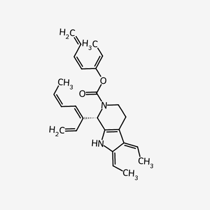 C=C/C=C\C(=C/C)OC(=O)N1CCc2c([nH]c(=C/C)/c2=C\C)[C@@H]1/C(C=C)=C/C=C\C